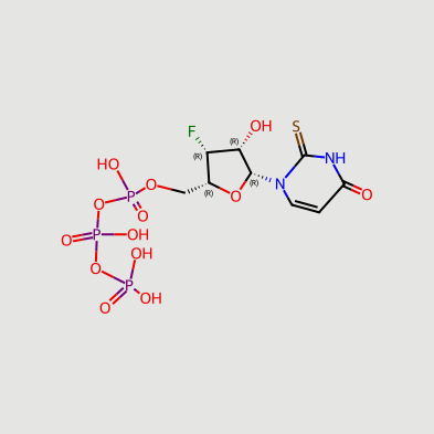 O=c1ccn([C@@H]2O[C@H](COP(=O)(O)OP(=O)(O)OP(=O)(O)O)[C@H](F)[C@@H]2O)c(=S)[nH]1